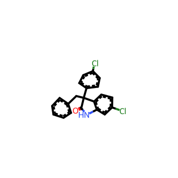 O=C1Nc2cc(Cl)ccc2C1(Cc1ccccc1)c1ccc(Cl)cc1